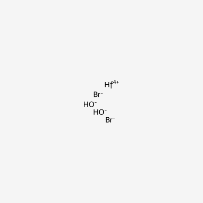 [Br-].[Br-].[Hf+4].[OH-].[OH-]